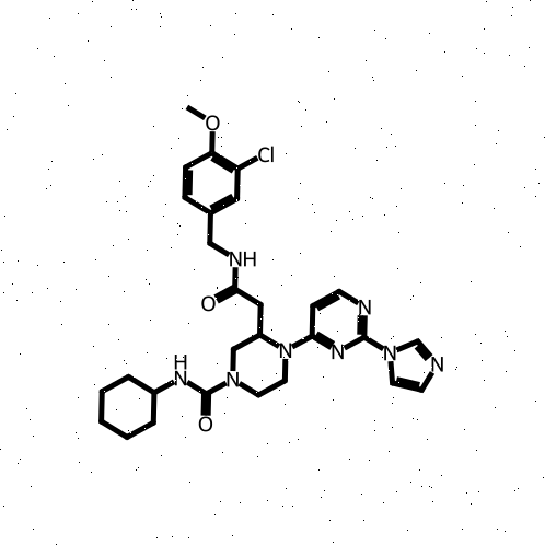 COc1ccc(CNC(=O)CC2CN(C(=O)NC3CCCCC3)CCN2c2ccnc(-n3ccnc3)n2)cc1Cl